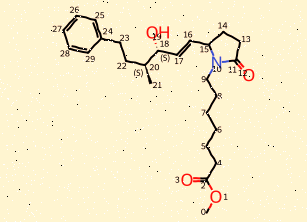 COC(=O)CCCCCCN1C(=O)CCC1C=C[C@@H](O)[C@@H](C)CCc1ccccc1